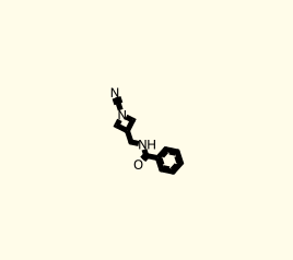 N#CN1CC(CNC(=O)c2ccccc2)C1